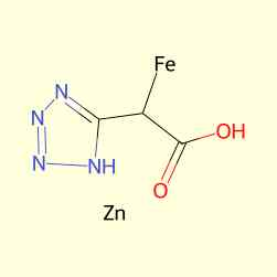 O=C(O)[CH]([Fe])c1nnn[nH]1.[Zn]